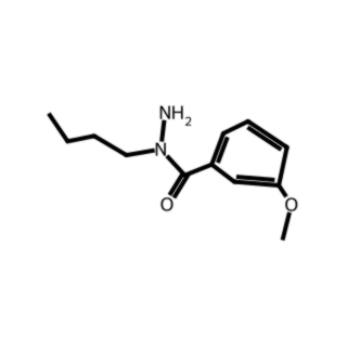 CCCCN(N)C(=O)c1cccc(OC)c1